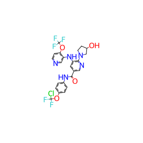 O=C(Nc1ccc(OC(F)(F)Cl)cc1)c1cnc(N2CCC(O)C2)c(Nc2cnccc2OC(F)(F)F)c1